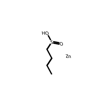 CCCCS(=O)O.[Zn]